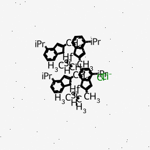 CC1=Cc2c(C(C)C)cccc2[CH]1[Hf+]([CH]1C(C)=Cc2c(C(C)C)cccc21)[SiH](C)C.CC1=Cc2c(C(C)C)cccc2[CH]1[Hf+]([CH]1C(C)=Cc2c(C(C)C)cccc21)[SiH](C)C.[Cl-].[Cl-]